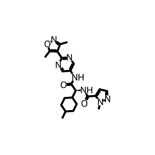 Cc1noc(C)c1-c1ncc(NC(=O)[C@@H](NC(=O)c2ccnn2C)C2CCC(C)CC2)cn1